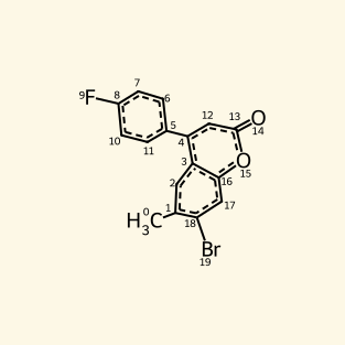 Cc1cc2c(-c3ccc(F)cc3)cc(=O)oc2cc1Br